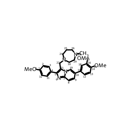 COc1ccc(-c2nc3ccc(-c4ccc(OC)c(OC)c4)cn3c2CN2CCCN(C)CC2)cc1